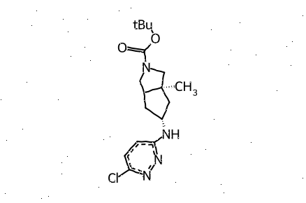 CC(C)(C)OC(=O)N1CC2C[C@@H](Nc3ccc(Cl)nn3)C[C@]2(C)C1